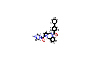 CN1CCN(C(=O)c2ccc3n2Cc2ccccc2N(C(=O)c2ccc(C4CCCCC4)cc2)C3)CC1